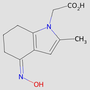 Cc1cc2c(n1CC(=O)O)CCC/C2=N/O